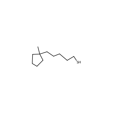 CC1(CCCCCS)CCCC1